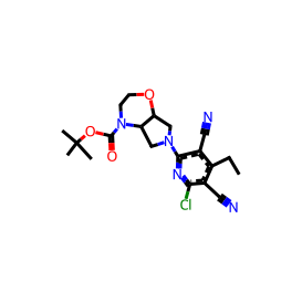 CCc1c(C#N)c(Cl)nc(N2CC3OCCN(C(=O)OC(C)(C)C)C3C2)c1C#N